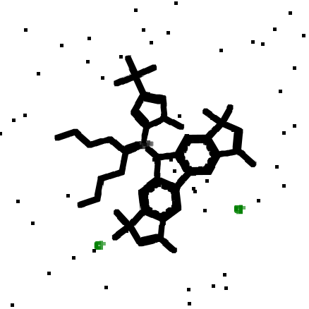 CCCC[C](CCCC)=[Zr+2]([C]1=CC(C(C)(C)C)=CC1C)[CH]1c2cc3c(cc2-c2cc4c(cc21)C(C)(C)C=C4C)C(C)=CC3(C)C.[Cl-].[Cl-]